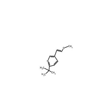 COC=Cc1ccc(C(C)(C)C)nc1